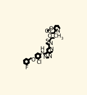 CCC(OC(Cc1ccccn1)=S(=O)=O)c1nc(-c2cc3c(Nc4ccc(OCc5cccc(F)c5)c(Cl)c4)ncnc3cn2)cs1